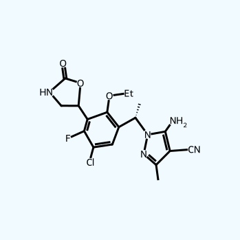 CCOc1c([C@H](C)n2nc(C)c(C#N)c2N)cc(Cl)c(F)c1C1CNC(=O)O1